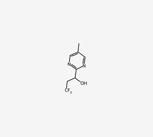 Cc1cnc(C(O)CC(F)(F)F)nc1